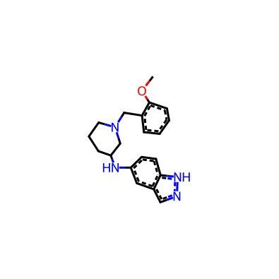 COc1ccccc1CN1CCCC(Nc2ccc3[nH]ncc3c2)C1